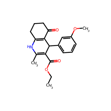 CCOC(=O)C1=C(C)NC2=C(C(=O)CCC2)C1c1cccc(OC)c1